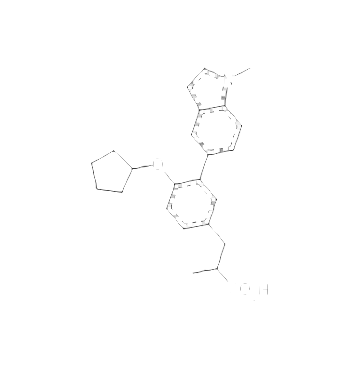 CC(Cc1ccc(OC2CCCC2)c(-c2ccc3c(ccn3C)c2)c1)C(=O)O